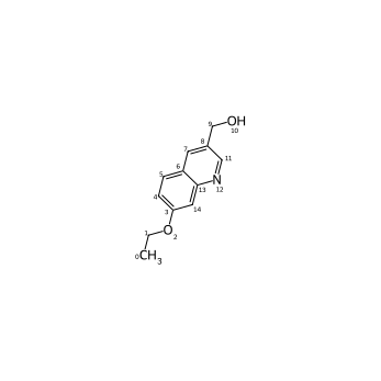 CCOc1ccc2cc(CO)cnc2c1